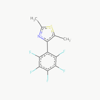 [CH2]c1sc(C)nc1-c1c(F)c(F)c(F)c(F)c1F